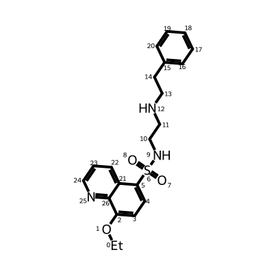 CCOc1ccc(S(=O)(=O)NCCNCCc2ccccc2)c2cccnc12